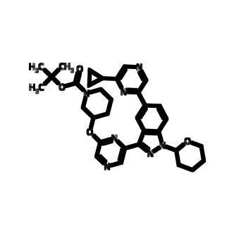 CC(C)(C)OC(=O)N1CCCC(Oc2cncc(-c3nn(C4CCCCO4)c4ccc(-c5cncc(C6CC6)n5)cc34)n2)C1